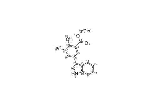 CCCCCCCCCCOC(=O)c1cc(-c2c[nH]c3ccccc23)cc(C(C)C)c1O